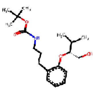 CC(C)[C@H](CO)Oc1ccccc1CCCNC(=O)OC(C)(C)C